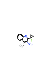 Nc1c(C2(F)CC2)nc2ccccc2c1[N+](=O)[O-]